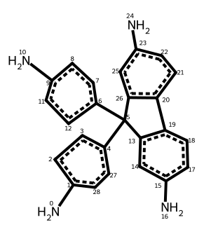 Nc1ccc(C2(c3ccc(N)cc3)c3cc(N)ccc3-c3ccc(N)cc32)cc1